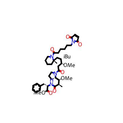 CC[C@H](C)C(C[C@]1(C)CCCCN1C(=O)CCCCCN1C(=O)C=CC1=O)[C@@H](CC(=O)N1CCC[C@H]1[C@H](OC)[C@@H](C)C(=O)N[C@@H](Cc1ccccc1)C(=O)OC)OC